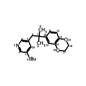 CC(C)(C)c1cncc(CC(C)(C)c2ccc3c(c2)OCCO3)c1